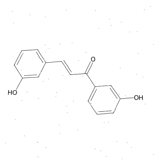 O=C(C=Cc1cccc(O)c1)c1cccc(O)c1